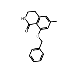 O=C1NCCc2cc(F)cc(OCc3ccccc3)c21